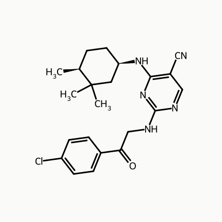 C[C@H]1CC[C@@H](Nc2nc(NCC(=O)c3ccc(Cl)cc3)ncc2C#N)CC1(C)C